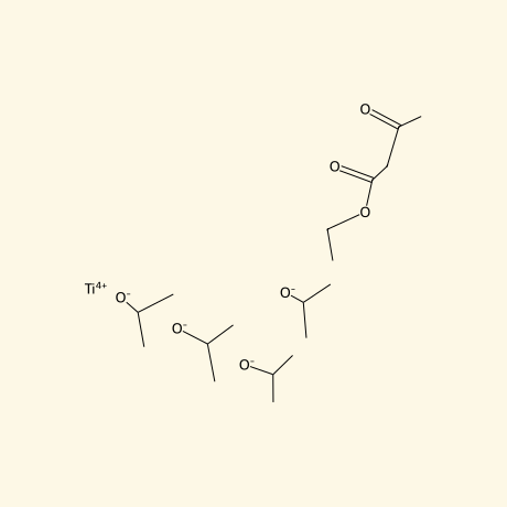 CC(C)[O-].CC(C)[O-].CC(C)[O-].CC(C)[O-].CCOC(=O)CC(C)=O.[Ti+4]